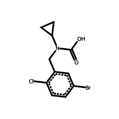 O=C(O)N(Cc1cc(Br)ccc1Cl)C1CC1